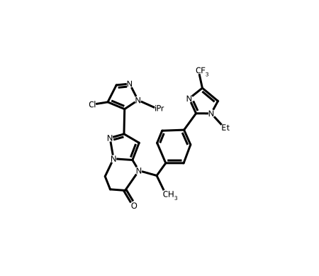 CCn1cc(C(F)(F)F)nc1-c1ccc(C(C)N2C(=O)CCn3nc(-c4c(Cl)cnn4C(C)C)cc32)cc1